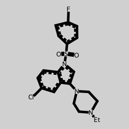 CCN1CCN(c2cn(S(=O)(=O)c3ccc(F)cc3)c3ccc(Cl)cc23)CC1